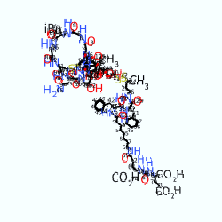 CC[C@H](C)[C@@H]1NC(=O)CNC(=O)C2Cc3c([nH]c4cc(OCCCSSC(C)CCNC(=O)[C@H](Cc5ccccc5)NC(=O)[C@H](Cc5ccccc5)NC(=O)CCCCCCCNC(=O)CCC(NC(=O)NC(CCC(=O)O)C(=O)O)C(=O)O)ccc34)[S+]([O-])CC(NC(=O)CNC1=O)C(=O)N[C@@H](CC(N)=O)C(=O)N1C[C@H](O)CC1(C=O)N[C@@H]([C@@H](C)[C@@H](O)CO)C(=O)N2